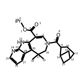 CC(C)OC(=O)C1=CN(C(=O)C2CCC3CC2C3)CC(C)(C)c2c1[nH]c1ncccc21